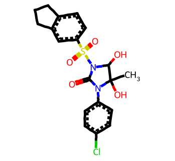 CC1(O)C(O)N(S(=O)(=O)c2ccc3c(c2)CCC3)C(=O)N1c1ccc(Cl)cc1